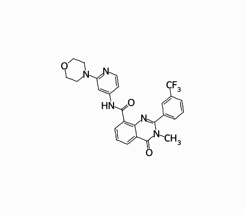 Cn1c(-c2cccc(C(F)(F)F)c2)nc2c(C(=O)Nc3ccnc(N4CCOCC4)c3)cccc2c1=O